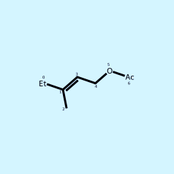 CCC(C)=CCOC(C)=O